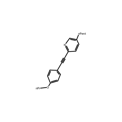 CCCCCc1ccc(C#Cc2ccc(OCCC)cc2)nc1